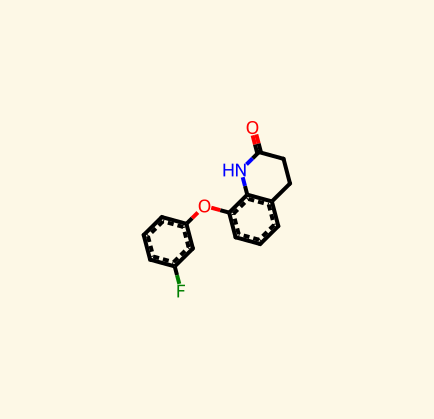 O=C1CCc2cccc(Oc3cccc(F)c3)c2N1